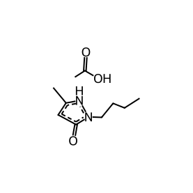 CC(=O)O.CCCCn1[nH]c(C)cc1=O